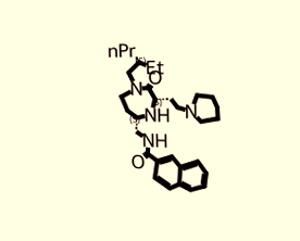 CCC[C@H](CC)CN1CC[C@@H](CNC(=O)c2ccc3ccccc3c2)N[C@@H](CCN2CCCCC2)C1=O